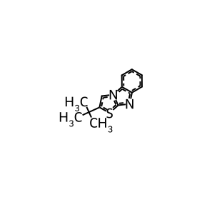 CC(C)(C)c1cn2c(nc3ccccc32)s1